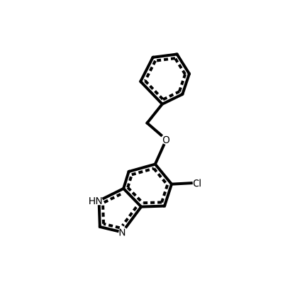 Clc1cc2nc[nH]c2cc1OCc1ccccc1